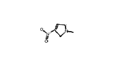 CN1[C]C=C([N+](=O)[O-])C1